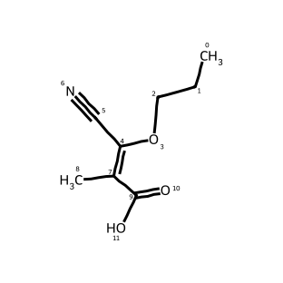 CCCOC(C#N)=C(C)C(=O)O